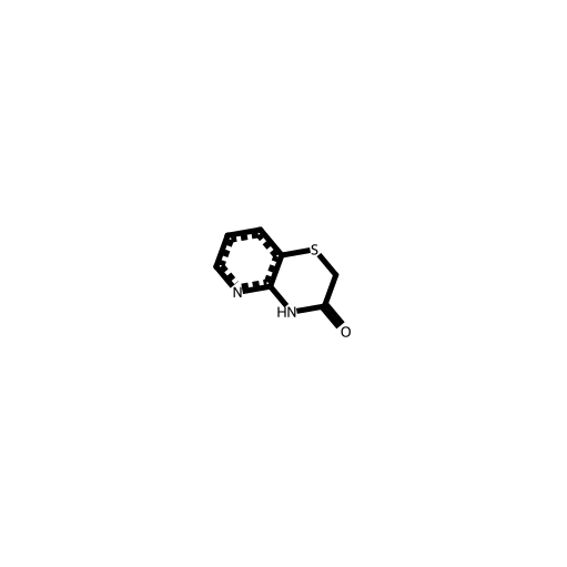 O=C1CSc2cccnc2N1